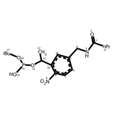 CCCC(=O)NCc1ccc([N+](=O)[O-])c(C(C)OP(O)OC(C)CC)c1